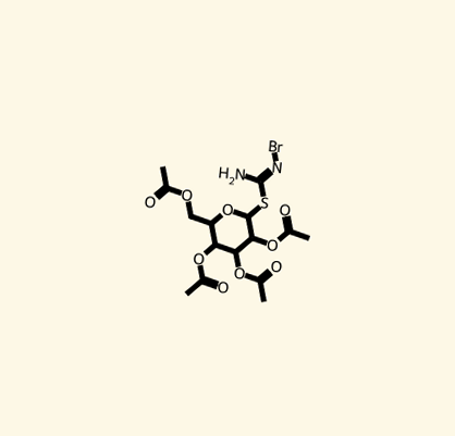 CC(=O)OCC1OC(S/C(N)=N/Br)C(OC(C)=O)C(OC(C)=O)C1OC(C)=O